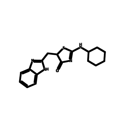 O=C1N=C(NC2CCCCC2)SC1Cc1nc2ccccc2[nH]1